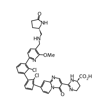 COc1nc(-c2cccc(-c3cccc(-c4ccn5c(=O)c(C6=NCC[C@H](C(=O)O)N6)cnc5c4)c3Cl)c2Cl)ccc1CNC[C@H]1CCC(=O)N1